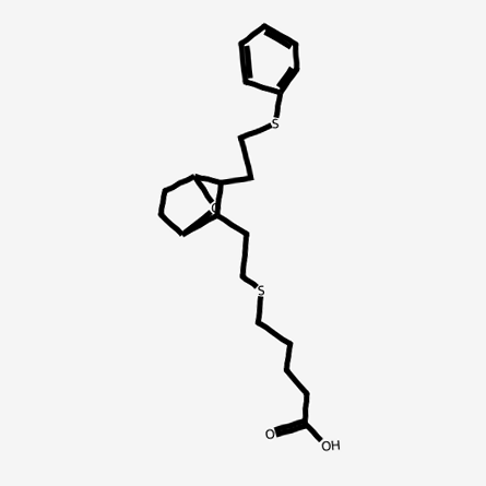 O=C(O)CCCCSCCC1C2CCC(O2)C1CCSc1ccccc1